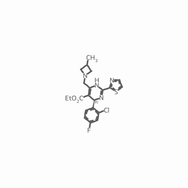 CCOC(=O)C1=C(CN2CC(C)C2)NC(c2nccs2)=N[C@H]1c1ccc(F)cc1Cl